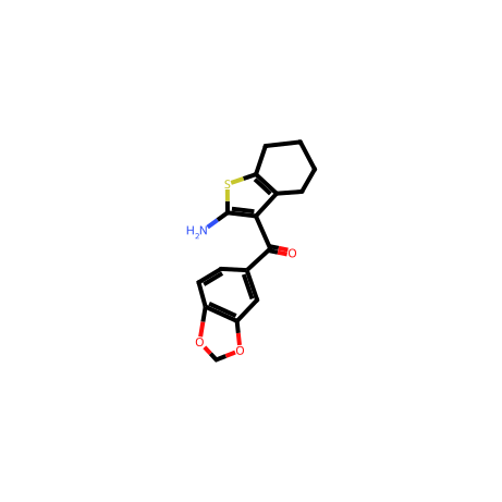 Nc1sc2c(c1C(=O)c1ccc3c(c1)OCO3)CCCC2